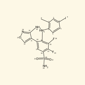 Cc1cc(I)ccc1Nc1c(-c2conc2N)cc(S(N)(=O)=O)c(F)c1F